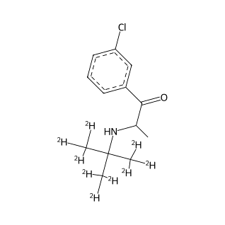 [2H]C([2H])([2H])C(NC(C)C(=O)c1cccc(Cl)c1)(C([2H])([2H])[2H])C([2H])([2H])[2H]